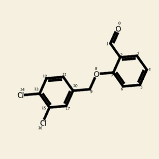 O=Cc1ccccc1OCc1ccc(Cl)c(Cl)c1